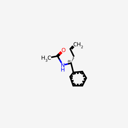 C=CC[C@@H](NC(C)=O)c1ccccc1